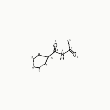 O=C(I)NC(=O)C1CCCCC1